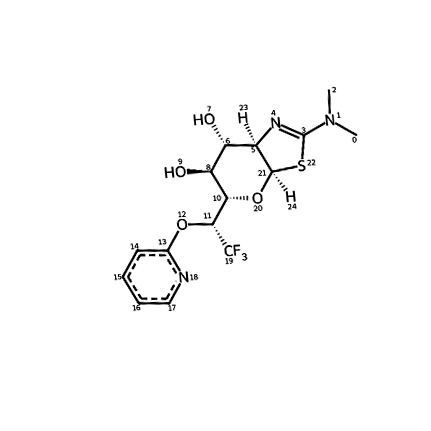 CN(C)C1=N[C@@H]2[C@@H](O)[C@H](O)[C@@H]([C@@H](Oc3ccccn3)C(F)(F)F)O[C@@H]2S1